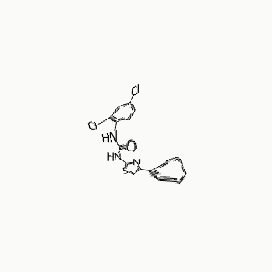 O=C(Nc1nc(-c2ccccc2)cs1)Nc1ccc(Cl)cc1Cl